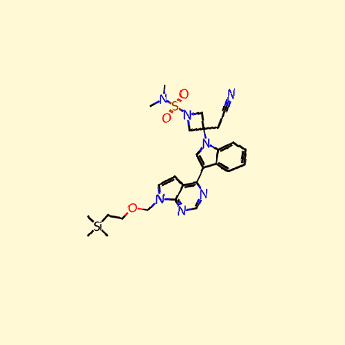 CN(C)S(=O)(=O)N1CC(CC#N)(n2cc(-c3ncnc4c3ccn4COCC[Si](C)(C)C)c3ccccc32)C1